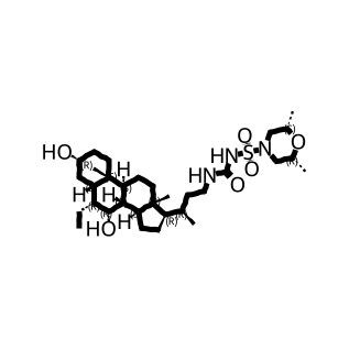 CC[C@H]1[C@@H](O)[C@@H]2[C@H](CC[C@]3(C)[C@@H]([C@H](C)CCNC(=O)NS(=O)(=O)N4C[C@@H](C)O[C@@H](C)C4)CC[C@@H]23)[C@@]2(C)CC[C@@H](O)C[C@@H]12